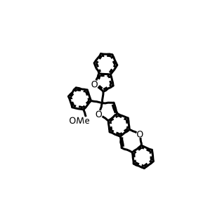 COc1ccccc1C1(c2cc3ccccc3o2)C=c2cc3c(cc2O1)=Cc1ccccc1O3